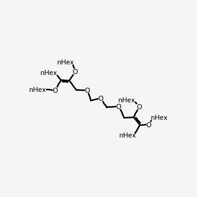 CCCCCCOC(CCCCCC)=C(COCOCOCC(OCCCCCC)=C(CCCCCC)OCCCCCC)OCCCCCC